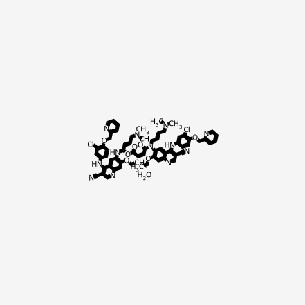 CCOc1cc2ncc(C#N)c(Nc3ccc(OCc4ccccn4)c(Cl)c3)c2cc1NC(/C=C/CN(C)C)OC(=O)/C=C\C(=O)N(C/C=C/CN(C)C)c1cc2c(Nc3ccc(OCc4ccccn4)c(Cl)c3)c(C#N)cnc2cc1OCC.O